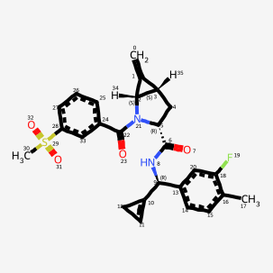 C=C1[C@@H]2[C@H]1C[C@H](C(=O)N[C@H](C1=CC1)c1ccc(C)c(F)c1)N2C(=O)c1cccc(S(C)(=O)=O)c1